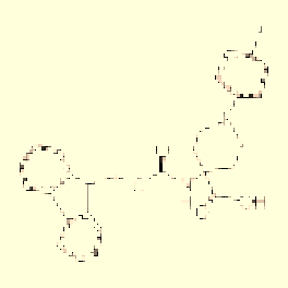 Cc1ccc(N2CCC(NC(=O)OCC3c4ccccc4-c4ccccc43)(C(=O)O)CC2)cc1